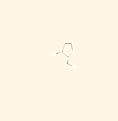 OC[C@@H]1O[CH]C[C@@H]1O